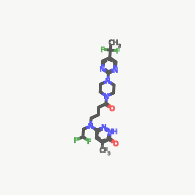 CC(F)(F)c1cnc(N2CCN(C(=O)CCCN(CC(F)F)c3cc(C(F)(F)F)c(=O)[nH]n3)CC2)nc1